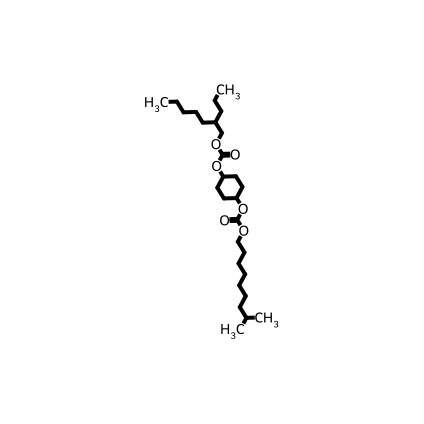 CCCCCC(CCC)COC(=O)OC1CCC(OC(=O)OCCCCCCCC(C)C)CC1